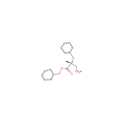 C[C@](CC(=O)O)(Cc1ccccc1)C(=O)OCc1ccccc1